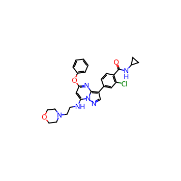 O=C(NC1CC1)c1ccc(-c2cnn3c(NCCN4CCOCC4)cc(Oc4ccccc4)nc23)cc1Cl